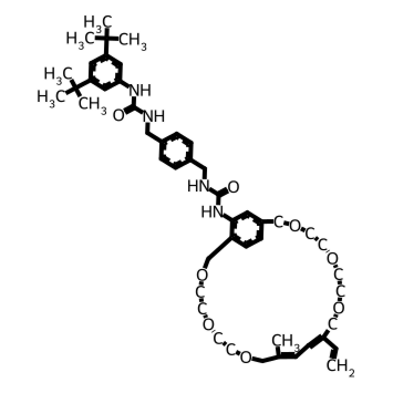 C=C/C1=C\C=C(/C)COCCOCCOCc2ccc(cc2NC(=O)NCc2ccc(CNC(=O)Nc3cc(C(C)(C)C)cc(C(C)(C)C)c3)cc2)COCCOCCOC1